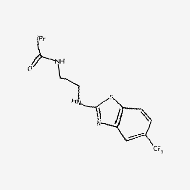 CC(C)C(=O)NCCNc1nc2cc(C(F)(F)F)ccc2s1